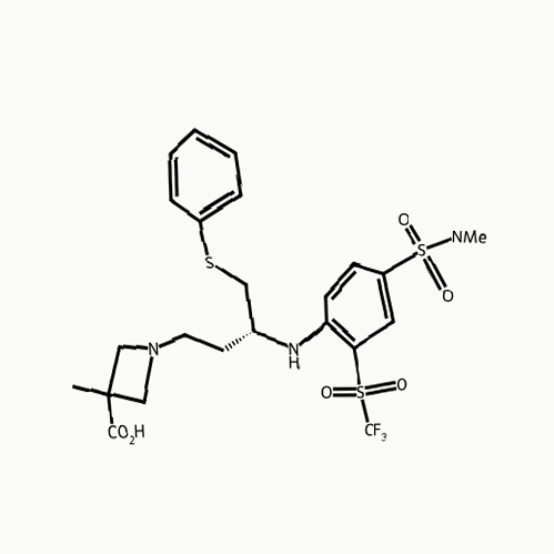 CNS(=O)(=O)c1ccc(N[C@H](CCN2CC(C)(C(=O)O)C2)CSc2ccccc2)c(S(=O)(=O)C(F)(F)F)c1